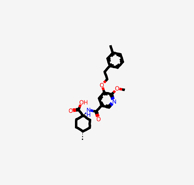 COc1ncc(C(=O)N[C@]2(C(=O)O)CC[C@H](C)CC2)cc1OCCc1cccc(C)c1